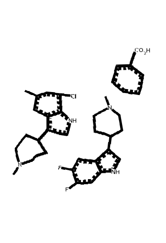 CN1CCC(c2c[nH]c3cc(F)c(F)cc23)CC1.Cc1cc(Cl)c2[nH]cc(C3CCN(C)CC3)c2c1.O=C(O)c1ccccc1